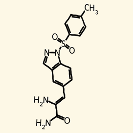 Cc1ccc(S(=O)(=O)n2ncc3cc(C=C(N)C(N)=O)ccc32)cc1